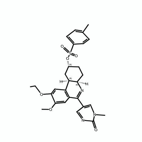 CCOc1cc2c(cc1OC)C(c1cnc(=O)n(C)c1)=N[C@@H]1CC[C@@H](OS(=O)(=O)c3ccc(C)cc3)C[C@H]21